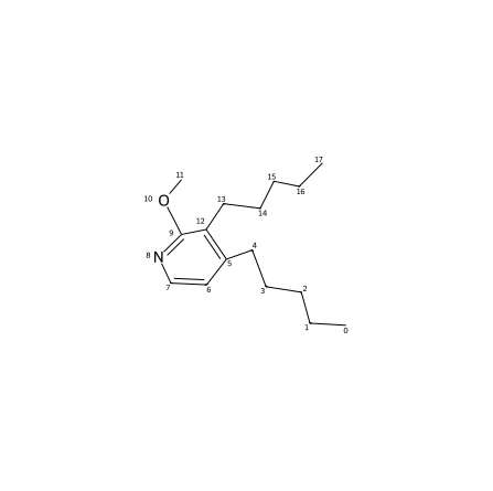 CCCCCc1ccnc(OC)c1CCCCC